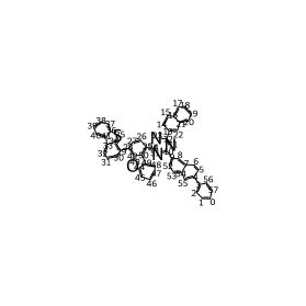 c1ccc(-c2ccc3cc(-c4nc(-c5ccc6ccccc6c5)nc(-c5ccc(-c6cccc7c6sc6ccccc67)c6oc7ccccc7c56)n4)ccc3c2)cc1